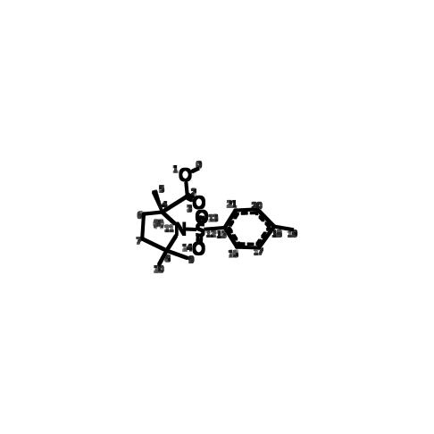 COC(=O)[C@@]1(C)CCC(C)(C)N1S(=O)(=O)c1ccc(C)cc1